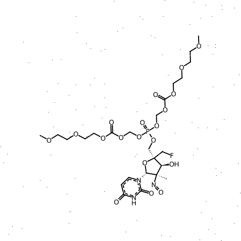 COCCOCCOC(=O)OCOP(=O)(OCOC(=O)OCCOCCOC)OC[C@@]1(CF)O[C@@H](n2ccc(=O)[nH]c2=O)[C@](C)(N=O)[C@@H]1O